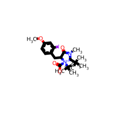 COc1ccc(CC2C(=O)N(C)C(C(C)(C)C)[N+]2(C(=O)[O-])C(C)(C)C)c(I)c1